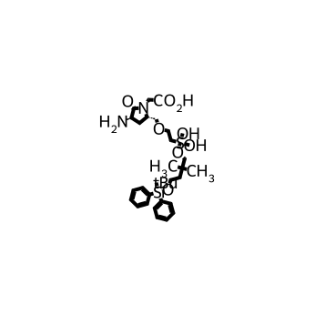 CC(C)(CCO[Si](c1ccccc1)(c1ccccc1)C(C)(C)C)COS(O)(O)CCOC[C@@H]1C[C@H](N)C(=O)N1CC(=O)O